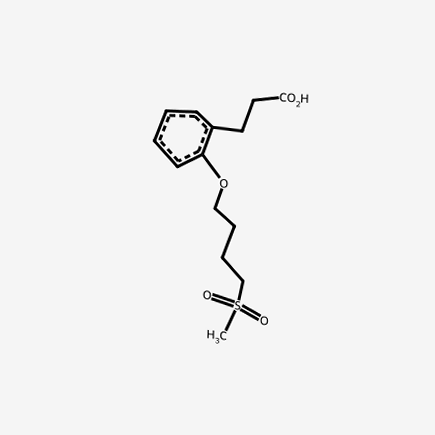 CS(=O)(=O)CCCCOc1ccccc1CCC(=O)O